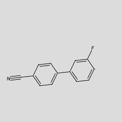 N#Cc1ccc(-c2cc[c]c(F)c2)cc1